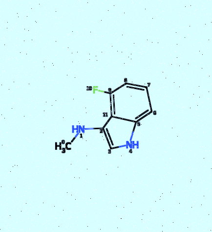 CNc1c[nH]c2cccc(F)c12